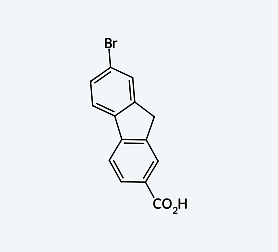 O=C(O)c1ccc2c(c1)Cc1cc(Br)ccc1-2